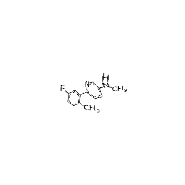 CNc1ccc(-c2cc(F)ccc2C)nc1